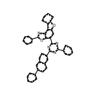 c1ccc(-c2ccc3cc(-c4nc(-c5ccccc5)nc(-c5cc6oc7ccccc7c6c6nc(-c7ccccc7)oc56)n4)ccc3c2)cc1